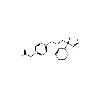 O=C(O)Cc1ccc(CCCC2(C3C=CCCC3)C=CSC2)cc1